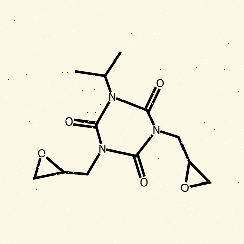 CC(C)n1c(=O)n(CC2CO2)c(=O)n(CC2CO2)c1=O